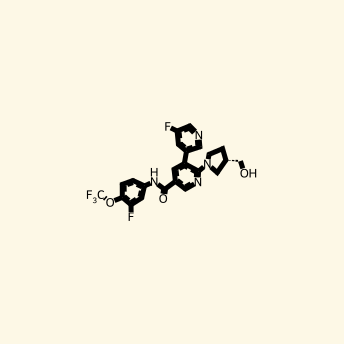 O=C(Nc1ccc(OC(F)(F)F)c(F)c1)c1cnc(N2CC[C@H](CO)C2)c(-c2cncc(F)c2)c1